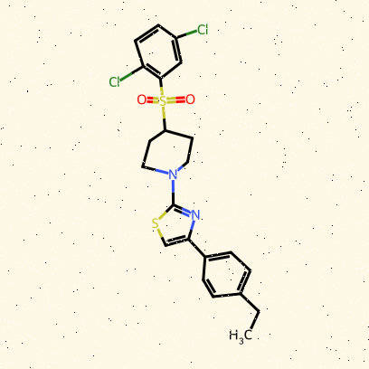 CCc1ccc(-c2csc(N3CCC(S(=O)(=O)c4cc(Cl)ccc4Cl)CC3)n2)cc1